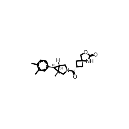 Cc1ccc([C@H]2[C@@H]3CN(C(=O)[C@H]4C[C@]5(COC(=O)N5)C4)C[C@@]32C)cc1C